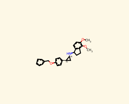 COc1ccc2c(c1OC)CCC2N[C@@H]1C[C@H]1c1ccc(OCc2ccccc2)cc1